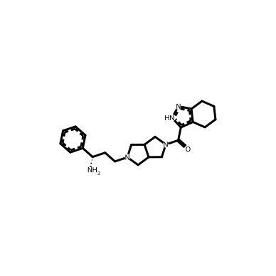 N[C@@H](CCN1CC2CN(C(=O)c3[nH]nc4c3CCCC4)CC2C1)c1ccccc1